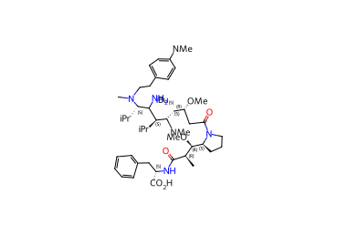 CC[C@H](C)[C@@H](C(NC)[C@@H](C(C)C)C(N)[C@H](C(C)C)N(C)CCc1ccc(NC)cc1)[C@@H](CC(=O)N1CCC[C@H]1[C@H](OC)[C@@H](C)C(=O)N[C@@H](Cc1ccccc1)C(=O)O)OC